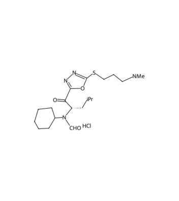 CNCCCSc1nnc(C(=O)[C@H](CC(C)C)N(C=O)C2CCCCC2)o1.Cl